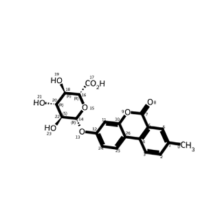 Cc1ccc2c(c1)c(=O)oc1cc(O[C@H]3O[C@@H](C(=O)O)[C@H](O)[C@@H](O)[C@@H]3O)ccc12